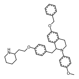 COc1ccc(N2CCc3cc(OCc4ccccc4)ccc3C2Cc2ccc(OCCC3CCCCN3)cc2)cc1